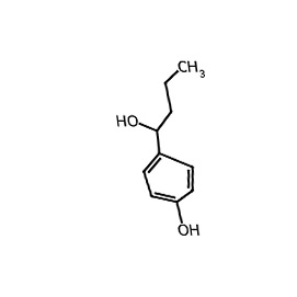 CCCC(O)c1ccc(O)cc1